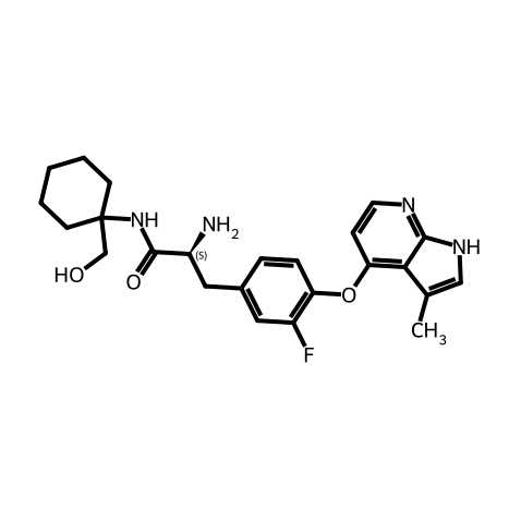 Cc1c[nH]c2nccc(Oc3ccc(C[C@H](N)C(=O)NC4(CO)CCCCC4)cc3F)c12